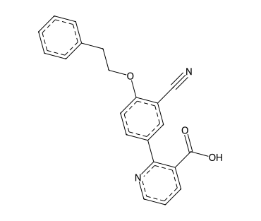 N#Cc1cc(-c2ncccc2C(=O)O)ccc1OCCc1ccccc1